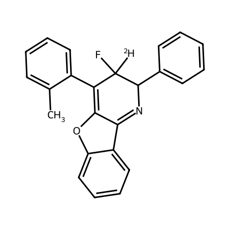 [2H]C1(F)C(c2ccccc2C)=c2oc3ccccc3c2=NC1c1ccccc1